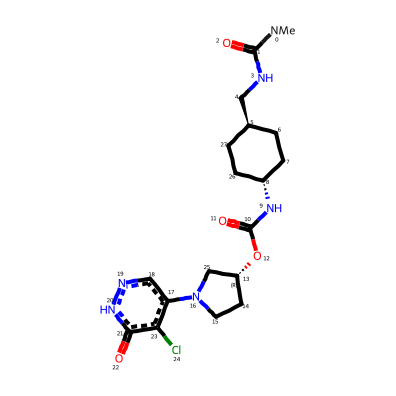 CNC(=O)NC[C@H]1CC[C@H](NC(=O)O[C@@H]2CCN(c3cn[nH]c(=O)c3Cl)C2)CC1